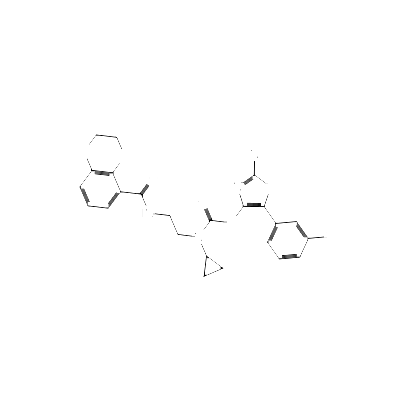 Nc1nc(OC(=O)N(CCNC(=O)c2cccc3c2OCCO3)C2CC2)c(-c2cccc(F)c2)s1